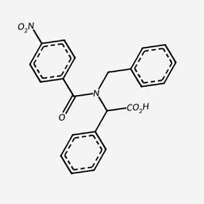 O=C(O)C(c1ccccc1)N(Cc1ccccc1)C(=O)c1ccc([N+](=O)[O-])cc1